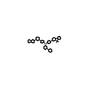 CC1(C)c2ccccc2-c2ccc(-c3ccc(N(c4ccc(-c5cccc(-c6ccc7ccccc7c6)c5)cc4)c4cccc(-c5ccccc5)c4)cc3)cc21